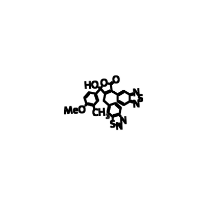 COc1ccc(C2(O)OC(=O)C(c3ccc4nsnc4c3)=C2Cc2ccc3nnsc3c2)cc1C